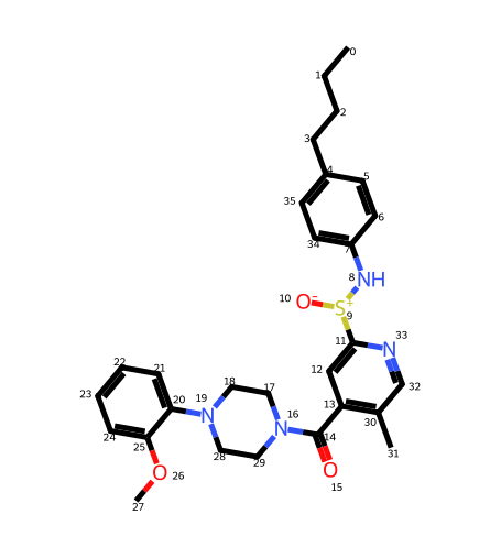 CCCCc1ccc(N[S+]([O-])c2cc(C(=O)N3CCN(c4ccccc4OC)CC3)c(C)cn2)cc1